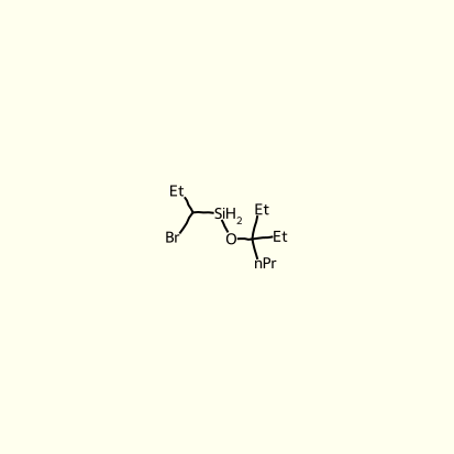 CCCC(CC)(CC)O[SiH2]C(Br)CC